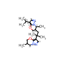 CC1COc2c(C(C)(C)CC3COc4c(C(C)C)cnn4C3C)cnn2C1